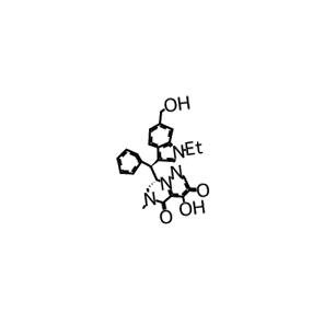 CCn1cc([C@H](c2ccccc2)[C@H]2CN(C)C(=O)c3c(O)c(=O)cnn32)c2ccc(CO)cc21